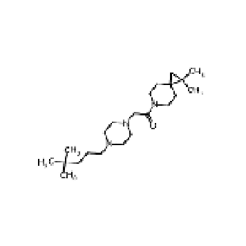 CC(C)(C)CCCN1CCN(CC(=O)N2CCC3(CC2)CC3(C)C)CC1